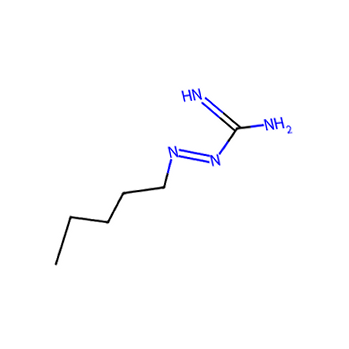 CCCCCN=NC(=N)N